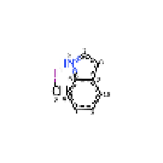 CI.c1ccc2[nH]ccc2c1